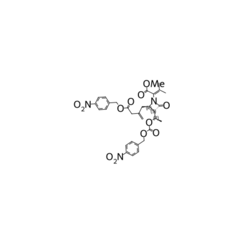 C=C(CC(=O)OCc1ccc([N+](=O)[O-])cc1)C[C@@H]1[C@@H]([C@@H](C)OC(=O)OCc2ccc([N+](=O)[O-])cc2)C(=O)N1C(C(=O)OC)=C(C)C